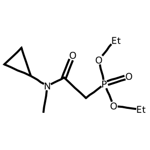 CCOP(=O)(CC(=O)N(C)C1CC1)OCC